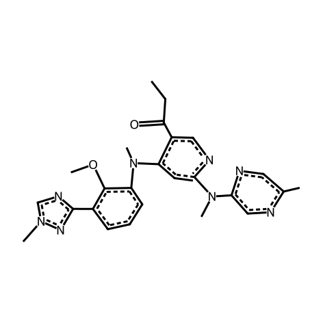 CCC(=O)c1cnc(N(C)c2cnc(C)cn2)cc1N(C)c1cccc(-c2ncn(C)n2)c1OC